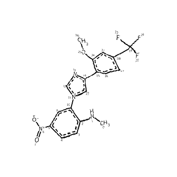 CNc1ccc([N+](=O)[O-])cc1-n1cnc(-c2ccc(C(F)(F)F)cc2OC)c1